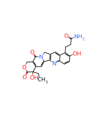 CCC1(O)C(=O)OCc2c1cc1n(c2=O)Cc2cc3c(CCC(N)=O)c(O)ccc3nc2-1